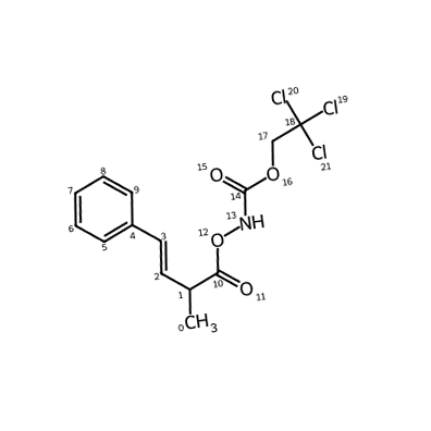 CC(/C=C/c1ccccc1)C(=O)ONC(=O)OCC(Cl)(Cl)Cl